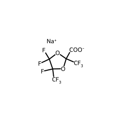 O=C([O-])C1(C(F)(F)F)OC(F)(F)C(F)(C(F)(F)F)O1.[Na+]